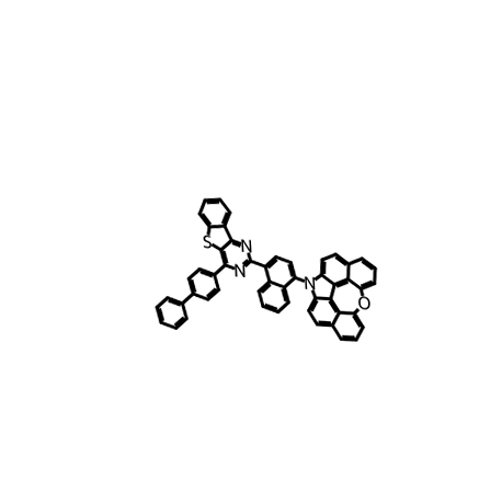 c1ccc(-c2ccc(-c3nc(-c4ccc(-n5c6ccc7cccc8oc9cccc%10ccc5c(c%109)c6c78)c5ccccc45)nc4c3sc3ccccc34)cc2)cc1